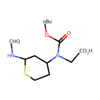 CCCCOC(=O)N(CC(=O)O)C1CCSC(NC=O)C1